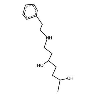 CC(O)CCC(O)CCNCCc1ccccc1